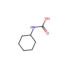 O=C(O)N[C]1CCCCC1